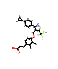 Cc1c(CCC(=O)O)ccc(OCc2c(-c3ccc(C4CC4)cc3)nsc2C(F)(F)F)c1C